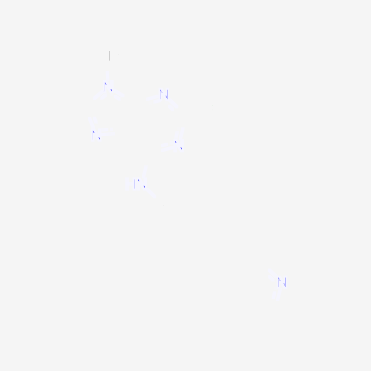 CC(C)n1cnc2c(Nc3ccc(-c4cccnc4)cc3)nc(Cl)nc21